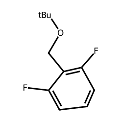 CC(C)(C)OCc1c(F)cccc1F